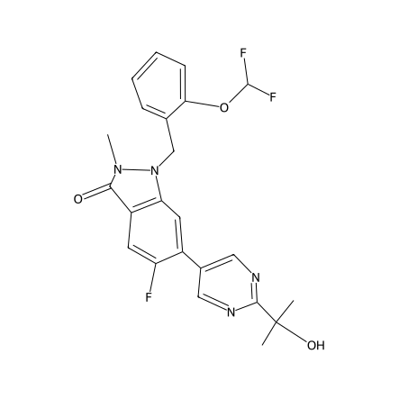 Cn1c(=O)c2cc(F)c(-c3cnc(C(C)(C)O)nc3)cc2n1Cc1ccccc1OC(F)F